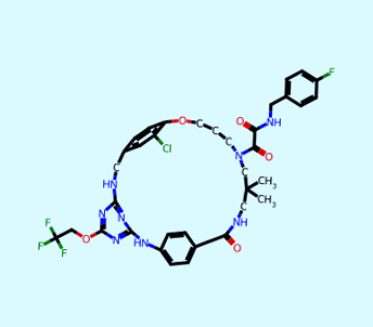 CC1(C)CNC(=O)c2ccc(cc2)Nc2nc(nc(OCC(F)(F)F)n2)NCc2ccc(c(Cl)c2)OCCCN(C(=O)C(=O)NCc2ccc(F)cc2)C1